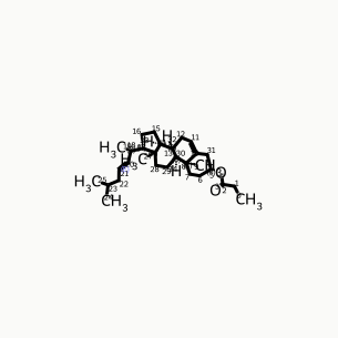 CCC(=O)O[C@@H]1CC[C@@]2(C)C(=CC[C@H]3[C@@H]4CC[C@H]([C@H](C)/C=C/CC(C)C)[C@@]4(C)CC[C@@H]32)C1